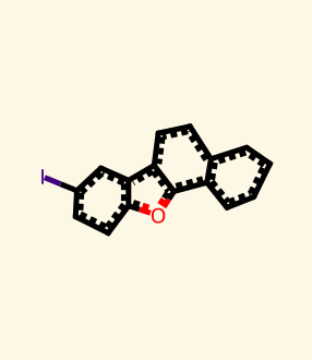 Ic1ccc2oc3c4ccccc4ccc3c2c1